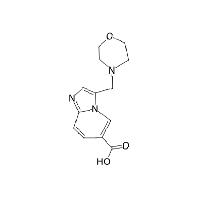 O=C(O)c1ccc2ncc(CN3CCOCC3)n2c1